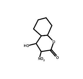 O=C1OC2CCCCC2C(O)C1[N+](=O)[O-]